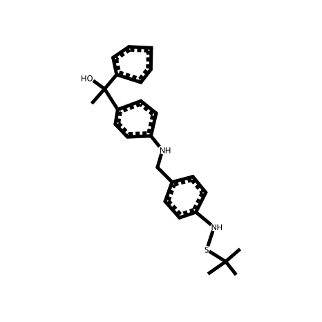 CC(C)(C)SNc1ccc(CNc2ccc(C(C)(O)c3ccccc3)cc2)cc1